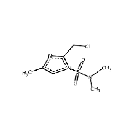 Cc1cn(S(=O)(=O)N(C)C)c(CCl)n1